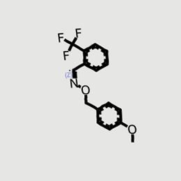 COc1ccc(CO/N=[C]\c2ccccc2C(F)(F)F)cc1